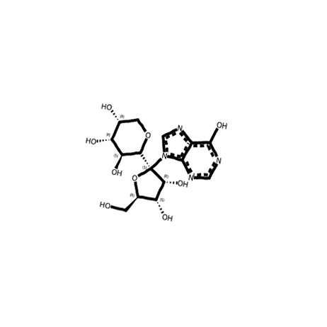 OC[C@H]1O[C@@](C2OC[C@@H](O)[C@@H](O)[C@@H]2O)(n2cnc3c(O)ncnc32)[C@H](O)[C@@H]1O